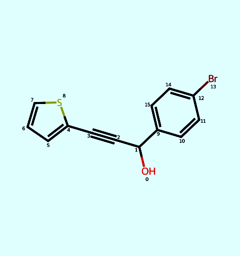 OC(C#Cc1cccs1)c1ccc(Br)cc1